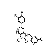 Cn1c(=O)n(Cc2cncc(Cl)c2)c2cc(-c3ccc(F)c(F)c3)cnc21